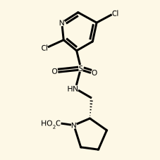 O=C(O)N1CCC[C@H]1CNS(=O)(=O)c1cc(Cl)cnc1Cl